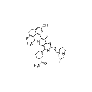 CCc1c(F)ccc2cc(O)cc(-c3ncc4c(N5CCC[C@@H](C(N)=O)C5)nc(OC[C@@]56CCCN5CC(F)C6)nc4c3F)c12